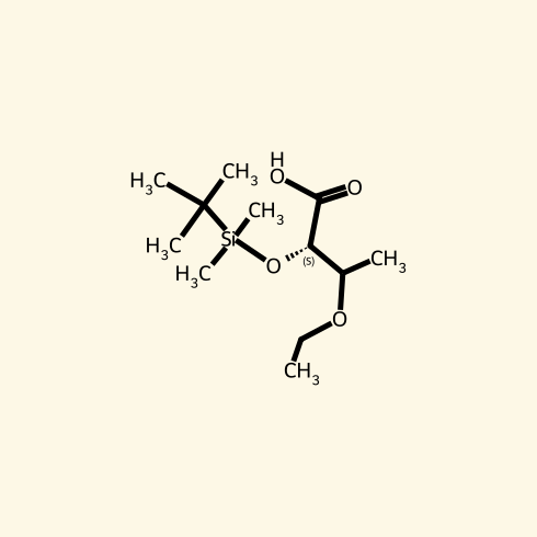 CCOC(C)[C@H](O[Si](C)(C)C(C)(C)C)C(=O)O